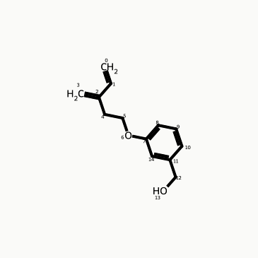 C=CC(=C)CCOc1cccc(CO)c1